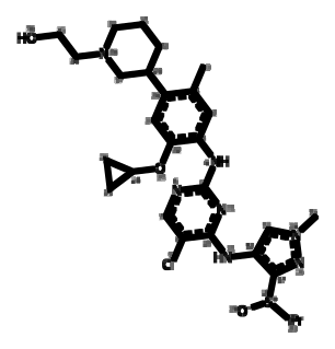 Cc1cc(Nc2ncc(Cl)c(Nc3cn(C)nc3[S+]([O-])C(C)C)n2)c(OC2CC2)cc1C1CCCN(CCO)C1